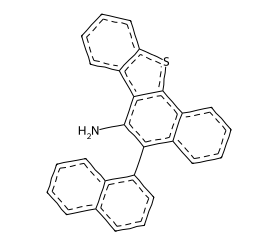 Nc1c(-c2cccc3ccccc23)c2ccccc2c2sc3ccccc3c12